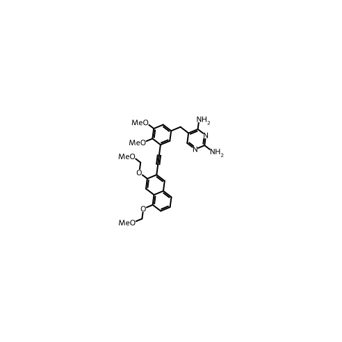 COCOc1cc2c(OCOC)cccc2cc1C#Cc1cc(Cc2cnc(N)nc2N)cc(OC)c1OC